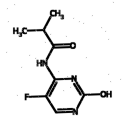 CC(C)C(=O)Nc1nc(O)ncc1F